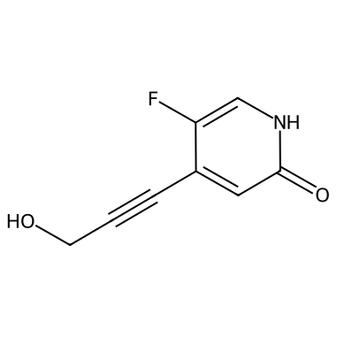 O=c1cc(C#CCO)c(F)c[nH]1